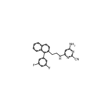 N#Cc1nc(N)cc(NCCc2ccc3ccccc3c2-c2cc(F)cc(F)c2)n1